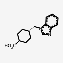 O=C(O)[C@H]1CC[C@H](Cn2cnc3ccccc32)CC1